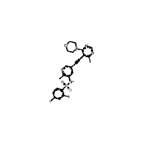 Cc1ncc(C#Cc2c(C)ncnc2N2CCOCC2)cc1NS(=O)(=O)c1ccc(F)cc1F